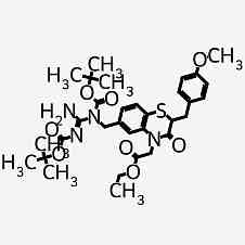 CCOC(=O)CN1C(=O)C(Cc2ccc(OC)cc2)Sc2ccc(CN(C(=O)OC(C)(C)C)C(N)=NC(=O)OC(C)(C)C)cc21